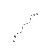 C=CC[I]CC=C